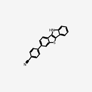 N#Cc1ccc(-c2ccc3c(c2)sc2c4ccccc4[nH]c32)cc1